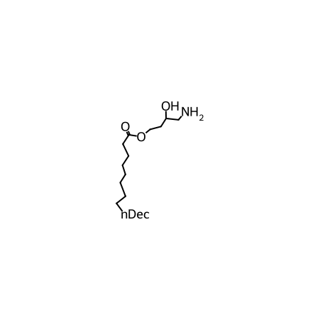 CCCCCCCCCCCCCCCCCC(=O)OCCC(O)CN